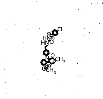 CN1CCc2c(n(-c3ccc(CCNC(=O)NS(=O)(=O)c4ccc(Cl)cc4)cc3)c3cccc(S(C)(=O)=O)c23)C1=O